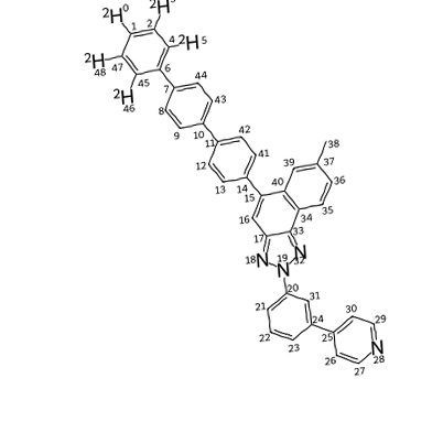 [2H]c1c([2H])c([2H])c(-c2ccc(-c3ccc(-c4cc5nn(-c6cccc(-c7ccncc7)c6)nc5c5ccc(C)cc45)cc3)cc2)c([2H])c1[2H]